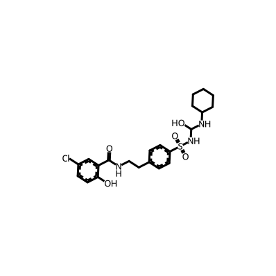 O=C(NCCc1ccc(S(=O)(=O)NC(O)NC2CCCCC2)cc1)c1cc(Cl)ccc1O